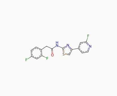 O=C(Cc1ccc(F)cc1F)Nc1nc(-c2ccnc(F)c2)cs1